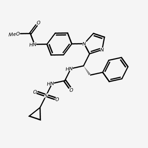 COC(=O)Nc1ccc(-n2ccnc2[C@H](Cc2ccccc2)NC(=O)NS(=O)(=O)C2CC2)cc1